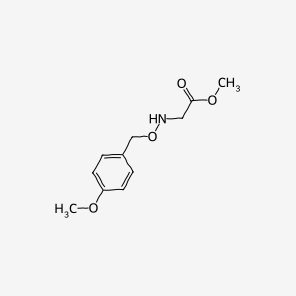 COC(=O)CNOCc1ccc(OC)cc1